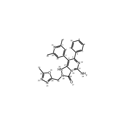 Cc1cc(-c2c(-c3ccccc3)nc(N)[n+]3c(=O)n(Cc4nnc(C)o4)[nH]c23)cc(C)n1